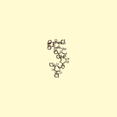 O=C(O)C(=Cc1ccc(Oc2cc(Cl)cc(Cl)c2)cc1)Cc1cc2c(cc1Cl)OCO2